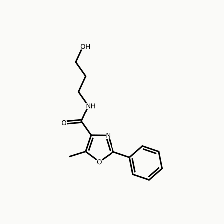 Cc1oc(-c2ccccc2)nc1C(=O)NCCCO